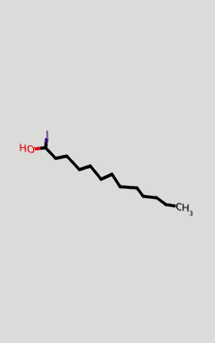 CCCCCCCCCCCCC(O)I